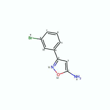 Nc1cc(-c2cccc(Br)c2)no1